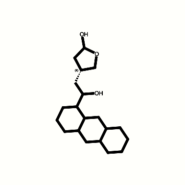 OC1C[C@@H](CC(O)C2CCCC3CC4CCCCC4CC32)CO1